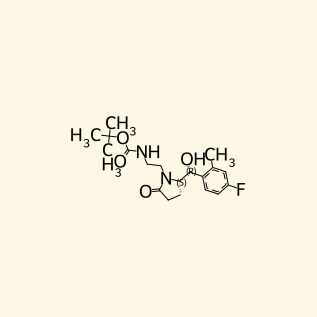 Cc1cc(F)ccc1[C@@H](O)[C@@H]1CCC(=O)N1CCNC(=O)OC(C)(C)C